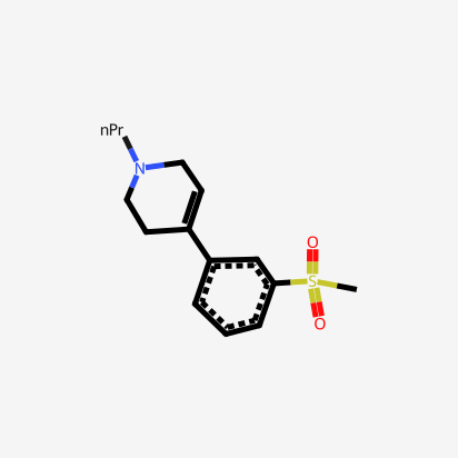 CCCN1CC=C(c2cccc(S(C)(=O)=O)c2)CC1